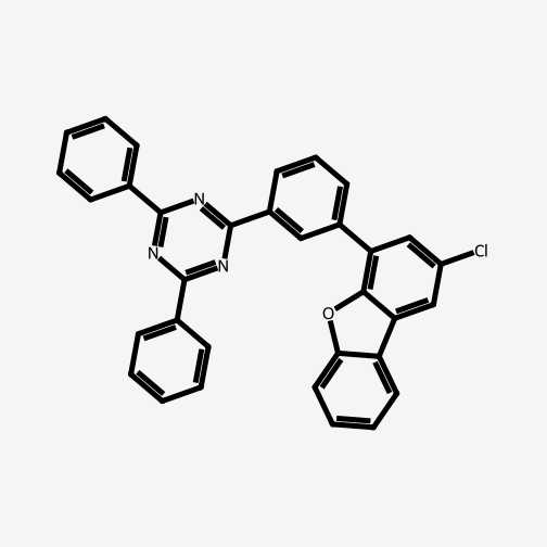 Clc1cc(-c2cccc(-c3nc(-c4ccccc4)nc(-c4ccccc4)n3)c2)c2oc3ccccc3c2c1